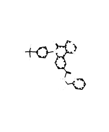 C[C@H](NC(=O)c1ccc2c(c1)c1ncncc1c(=O)n2-c1ccc(C(F)(F)F)cc1)c1ccccn1